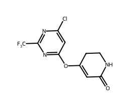 O=C1C=C(Oc2cc(Cl)nc(C(F)(F)F)n2)CCN1